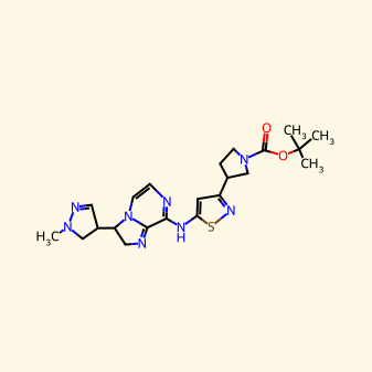 CN1CC(C2CN=C3C(Nc4cc(C5CCN(C(=O)OC(C)(C)C)C5)ns4)=NC=CN32)C=N1